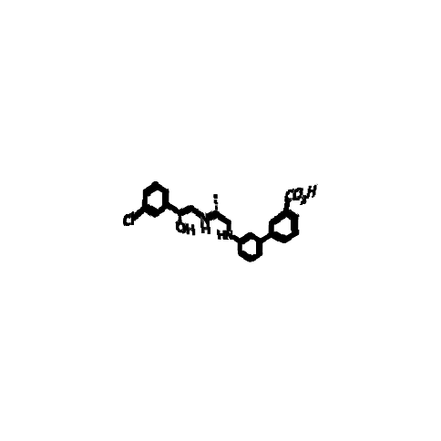 C[C@H](CNc1cccc(-c2cccc(C(=O)O)c2)c1)NC[C@H](O)c1cccc(Cl)c1